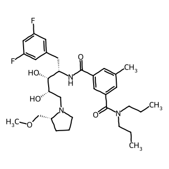 CCCN(CCC)C(=O)c1cc(C)cc(C(=O)N[C@@H](Cc2cc(F)cc(F)c2)[C@@H](O)[C@@H](O)CN2CCC[C@@H]2COC)c1